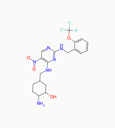 NC1CCC(CNc2nc(NCc3ccccc3OC(F)(F)F)ncc2[N+](=O)[O-])CC1O